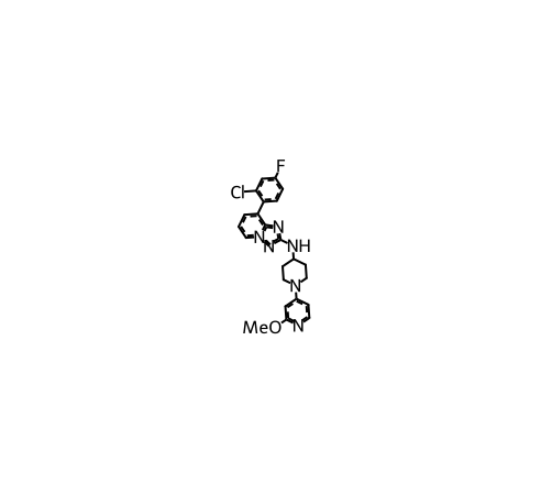 COc1cc(N2CCC(Nc3nc4c(-c5ccc(F)cc5Cl)cccn4n3)CC2)ccn1